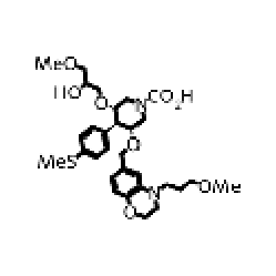 COCCCN1CCOc2ccc(CO[C@H]3CN(C(=O)O)C[C@@H](OCC(O)COC)[C@@H]3c3ccc(SC)cc3)cc21